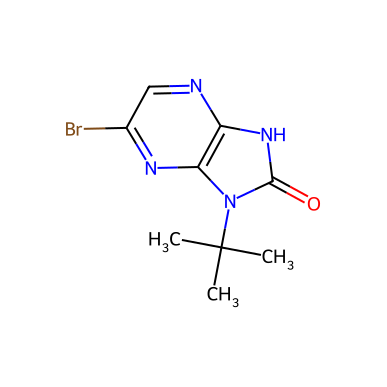 CC(C)(C)n1c(=O)[nH]c2ncc(Br)nc21